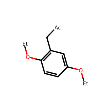 CCOc1ccc(OCC)c(CC(C)=O)c1